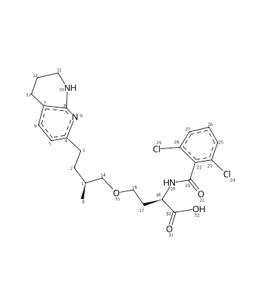 C[C@@H](CCc1ccc2c(n1)NCCC2)COCC[C@@H](NC(=O)c1c(Cl)cccc1Cl)C(=O)O